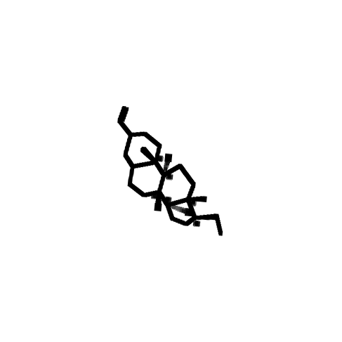 C=CC1CC[C@@]2(C)C(CC[C@H]3[C@@H]4CC[C@H](CC)[C@@]4(C)CC[C@@H]32)C1